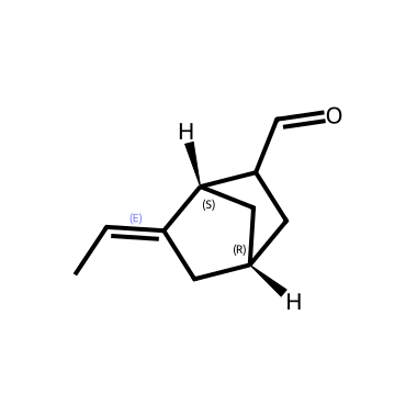 C/C=C1\C[C@H]2CC(C=O)[C@@H]1C2